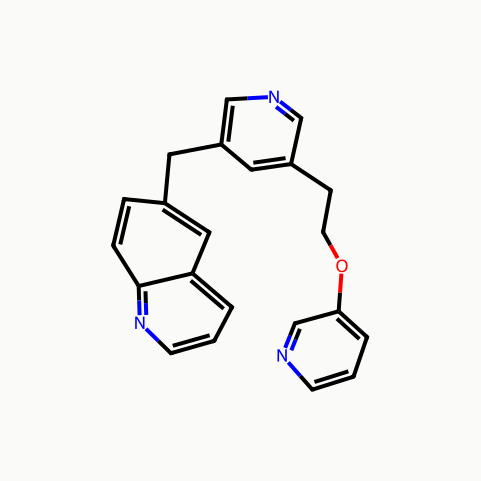 c1cncc(OCCc2cncc(Cc3ccc4ncccc4c3)c2)c1